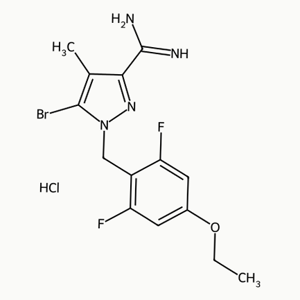 CCOc1cc(F)c(Cn2nc(C(=N)N)c(C)c2Br)c(F)c1.Cl